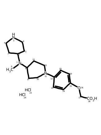 CN(C1CCNCC1)C1CCN(c2ccc(OCC(=O)O)cc2)CC1.Cl.Cl